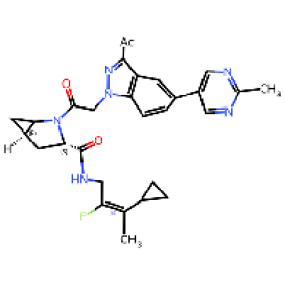 CC(=O)c1nn(CC(=O)N2C3C[C@@H]3C[C@H]2C(=O)NC/C(F)=C(/C)C2CC2)c2ccc(-c3cnc(C)nc3)cc12